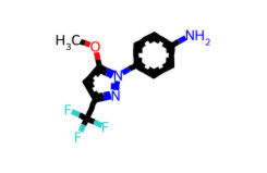 COc1cc(C(F)(F)F)nn1-c1ccc(N)cc1